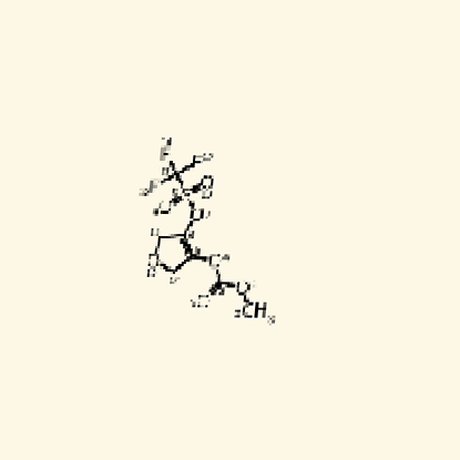 COC(=O)OC1=C(OS(=O)(=O)C(F)(F)F)COC1